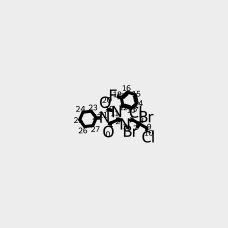 O=C1/C(=N/C(Cl)C(Br)(Br)CCl)N(c2ccccc2F)C(=O)N1C1CCCCC1